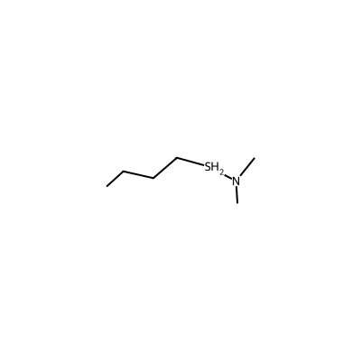 CCCC[SH2]N(C)C